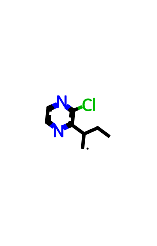 [CH2]C(CC)c1nccnc1Cl